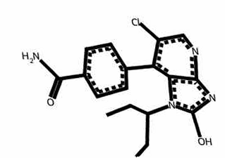 CCC(CC)n1c(O)nc2ncc(Cl)c(-c3ccc(C(N)=O)cc3)c21